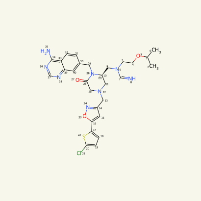 CC(C)OCCN(C=N)C[C@H]1CN(Cc2cc(-c3ccc(Cl)s3)on2)CC(=O)N1Cc1ccc2c(N)ncnc2c1